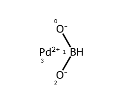 [O-]B[O-].[Pd+2]